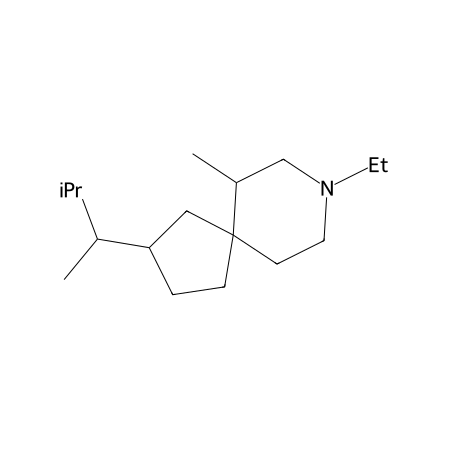 CCN1CCC2(CCC(C(C)C(C)C)C2)C(C)C1